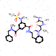 CCCN(Cc1ccccc1)C(=O)c1cc(C(=O)N[C@H](CN[C@@H](C)C(=O)N[C@H](C(=O)NCC)C(C)C)Cc2ccccc2)cc(N(C)S(C)(=O)=O)c1